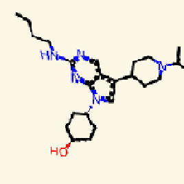 CCCCNc1ncc2c(C3CCN(C(C)C)CC3)cn([C@H]3CC[C@H](O)CC3)c2n1